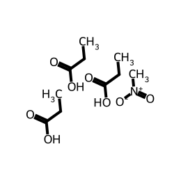 CCC(=O)O.CCC(=O)O.CCC(=O)O.C[N+](=O)[O-]